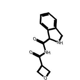 O=C(NC(=O)C1NCc2ccccc21)C1COC1